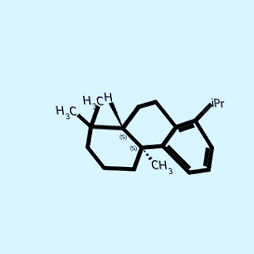 CC(C)c1cccc2c1CC[C@H]1C(C)(C)CCC[C@]21C